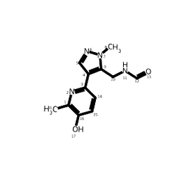 Cc1nc(-c2cnn(C)c2CNC=O)ccc1O